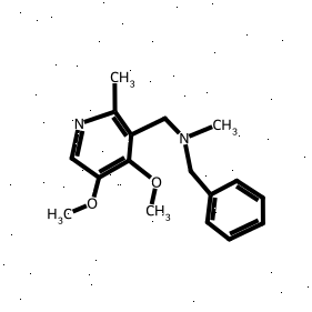 COc1cnc(C)c(CN(C)Cc2ccccc2)c1OC